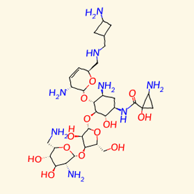 NC[C@@H]1O[C@H](O[C@H]2[C@@H](O)[C@H](O[C@@H]3[C@@H](O)[C@H](NC(=O)C4(O)CC4N)C[C@H](N)[C@H]3O[C@H]3O[C@H](CNCC4CC(N)C4)C=C[C@H]3N)O[C@@H]2CO)[C@H](N)[C@@H](O)[C@@H]1O